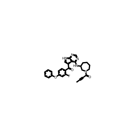 CC#CC(=O)N1CCCCC(Nc2ncnc3[nH]cc(C(=O)c4ccc(Oc5ccccc5)cc4F)c23)C1